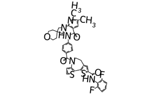 Cc1cc(C(=O)Nc2ccc(C(=O)N3CCc4cc(C(=O)Nc5c(F)cccc5F)sc4-c4sccc43)cc2)c(N2CC3(CCOCC3)C2)nc1C